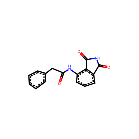 O=C(Cc1ccccc1)Nc1cccc2c1C(=O)NC2=O